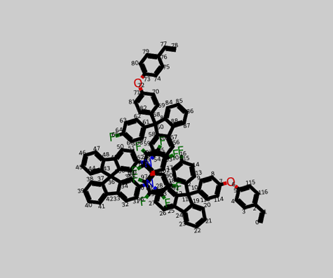 C=Cc1ccc(Oc2ccc(C3(c4ccc(F)cc4)c4ccccc4-c4ccc(N(c5ccc6c(c5)C5(c7ccccc7-6)c6ccccc6-c6ccc(N(c7ccc8c(c7)C(c7ccc(F)cc7)(c7ccc(Oc9ccc(C=C)cc9)cc7)c7ccccc7-8)c7cc(F)c(F)c(F)c7F)cc65)c5cc(F)c(F)c(F)c5F)cc43)cc2)cc1